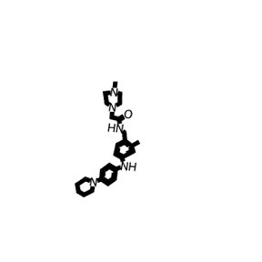 Cc1cc(Nc2ccc(N3CCCCC3)cc2)ccc1CNC(=O)CN1CCN(C)CC1